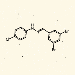 Clc1ccc(N/N=C/c2cc(Br)cc(Br)c2)cc1